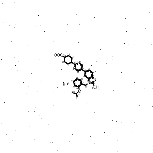 Cc1nc2ccc(-c3cnc(C4CCC(C(=O)[O-])CC4)nc3)cc2n1Cc1ccccc1OC(F)F.[Na+]